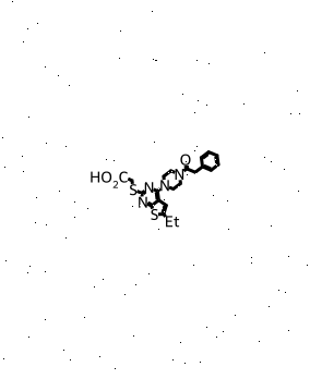 CCc1cc2c(N3CCN(C(=O)Cc4ccccc4)CC3)nc(SCC(=O)O)nc2s1